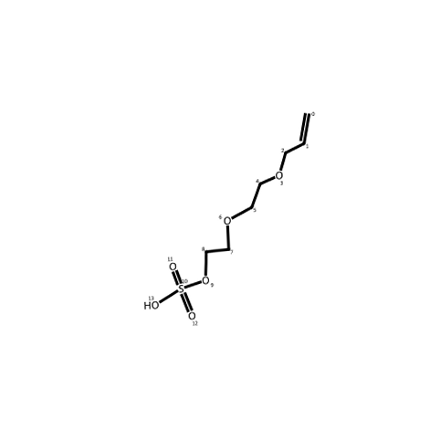 C=CCOCCOCCOS(=O)(=O)O